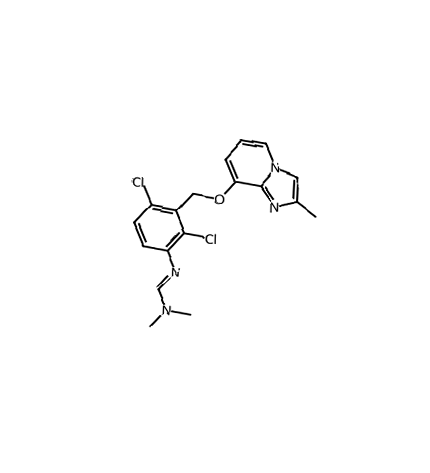 Cc1cn2cccc(OCc3c(Cl)ccc(N=CN(C)C)c3Cl)c2n1